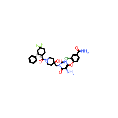 NC(=O)c1ccc(Oc2ncn(CC3(O)CCN(C(=O)[C@@H]4CCC(F)(F)C[C@H]4c4ccccc4)CC3)c(=O)c2N)c(Cl)c1